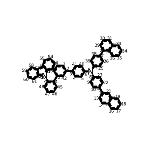 c1cc(-c2ccc(N(c3ccc(-c4ccc5ccccc5c4)cc3)c3ccc(-c4cccc5ccccc45)cc3)cc2)cc(-c2ccccc2-n2c3ccccc3c3ccccc32)c1